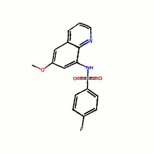 COc1cc(NS(=O)(=O)c2ccc(F)cc2)c2ncccc2c1